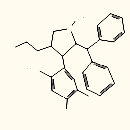 CNN1CC(CCO)C(c2cc(C)c(C)cc2OC)C1C(c1ccccc1)c1ccccc1